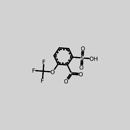 O=I(=O)c1c(OC(F)(F)F)cccc1S(=O)(=O)O